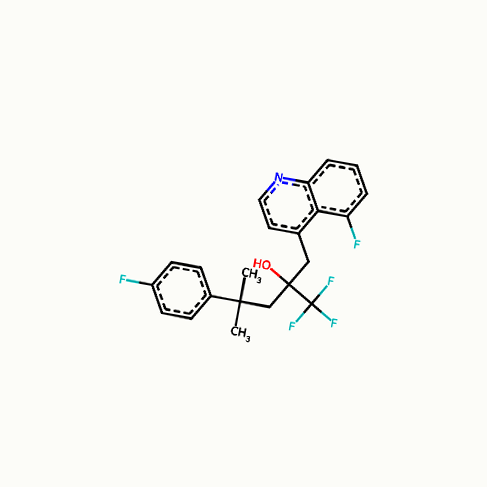 CC(C)(CC(O)(Cc1ccnc2cccc(F)c12)C(F)(F)F)c1ccc(F)cc1